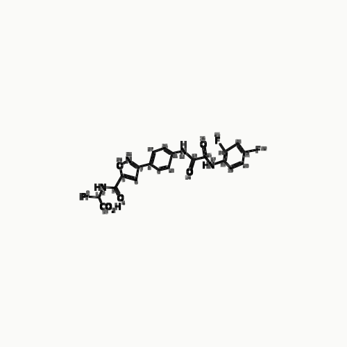 CC(C)C(NC(=O)c1cc(-c2ccc(NC(=O)C(=O)Nc3ccc(F)cc3F)cc2)no1)C(=O)O